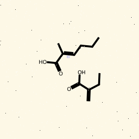 C=C(CC)C(=O)O.CCC/C=C(\C)C(=O)O